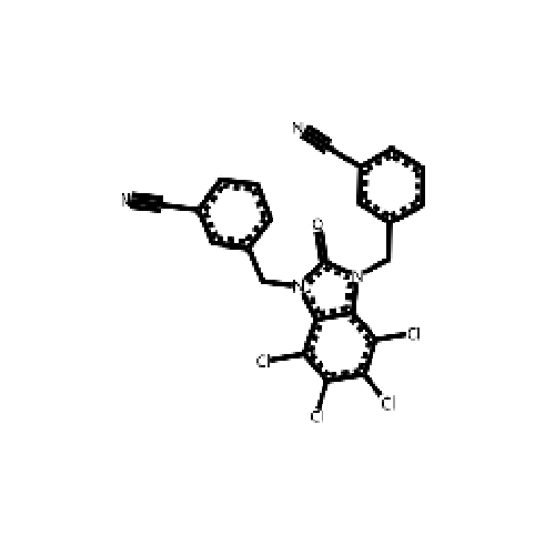 N#Cc1cccc(Cn2c(=O)n(Cc3cccc(C#N)c3)c3c(Cl)c(Cl)c(Cl)c(Cl)c32)c1